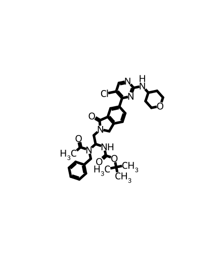 CC(=O)N(Cc1ccccc1)C(CN1Cc2ccc(-c3nc(NC4CCOCC4)ncc3Cl)cc2C1=O)NC(=O)OC(C)(C)C